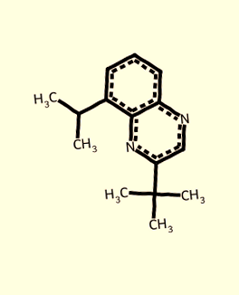 CC(C)c1cccc2ncc(C(C)(C)C)nc12